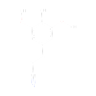 COc1cc(CCC#N)cc(OC)c1C